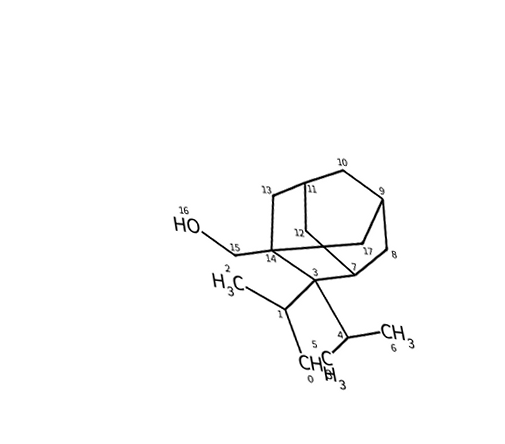 CC(C)C1(C(C)C)C2CC3CC(C2)CC1(CO)C3